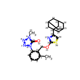 Cc1cccc(-n2nnn(C)c2=O)c1COc1nc(C23CC4CC(CC(C4)C2)C3)cs1